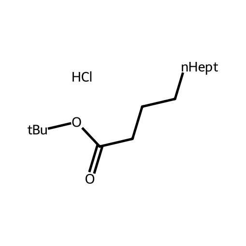 CCCCCCCCCCC(=O)OC(C)(C)C.Cl